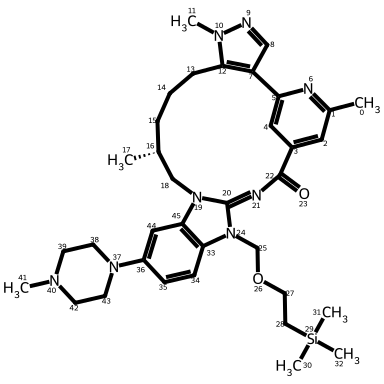 Cc1cc2cc(n1)-c1cnn(C)c1CCC[C@@H](C)CN1C(=NC2=O)N(COCC[Si](C)(C)C)c2ccc(N3CCN(C)CC3)cc21